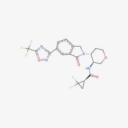 O=C(N[C@@H]1COCC[C@H]1N1Cc2ccc(-c3noc(C(F)(F)F)n3)cc2C1=O)[C@H]1CC1(F)F